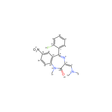 CN(C)C=C1N=C(c2ccccc2F)c2cc([N+](=O)[O-])ccc2N(C)C1=O